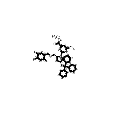 COC(=O)c1cc(C)nc(N2C[C@H](SC(c3ccccc3)(c3ccccc3)c3ccccc3)C[C@H]2COCc2cc(F)c(F)cc2F)n1